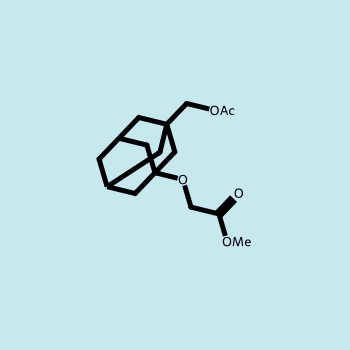 COC(=O)COC12CC3CC(CC(COC(C)=O)(C3)C1)C2